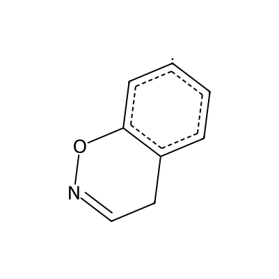 [c]1ccc2c(c1)ON=CC2